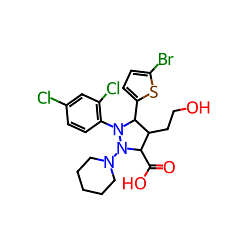 O=C(O)C1C(CCO)C(c2ccc(Br)s2)N(c2ccc(Cl)cc2Cl)N1N1CCCCC1